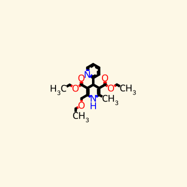 CCOCC1=C(C(=O)OCC)C(c2ccccn2)C(C(=O)OCC)=C(C)N1